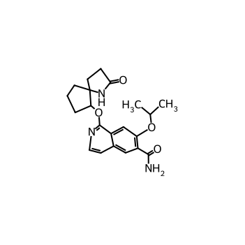 CC(C)Oc1cc2c(OC3CCCC34CCC(=O)N4)nccc2cc1C(N)=O